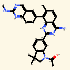 CNc1ncc2cc(-c3c(C)ccc4c(N)nc(-c5ccc6c(c5)N(C(C)=O)CC6(C)C)nc34)ccc2n1